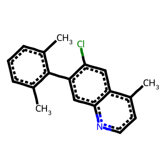 Cc1cccc(C)c1-c1cc2nccc(C)c2cc1Cl